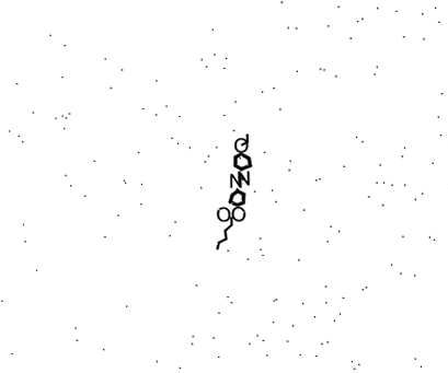 CCCCCC(=O)Oc1ccc(N=Nc2ccc(OCC)cc2)cc1